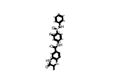 CC1Sc2ccc(C(=O)Nc3ccc([S+]([O-])Nc4ccccc4)c(F)c3)cc2NC1=O